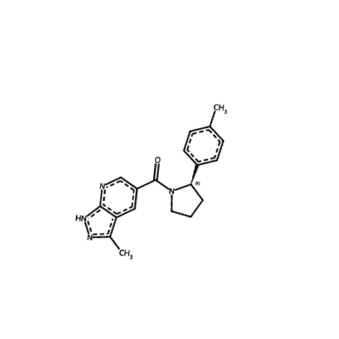 Cc1ccc([C@H]2CCCN2C(=O)c2cnc3[nH]nc(C)c3c2)cc1